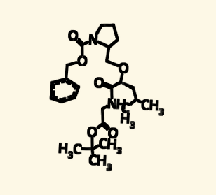 CC(C)C[C@H](OCC1CCCN1C(=O)OCc1ccccc1)C(=O)NCC(=O)OC(C)(C)C